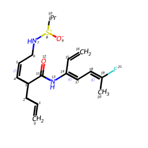 C=CCC(/C=C\CN[S+]([O-])C(C)C)C(=O)N/C(C=C)=C/C=C(\C)F